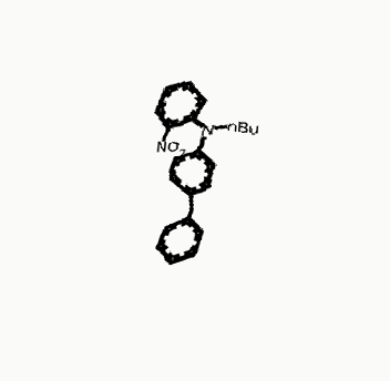 CCCCN(c1ccc(-c2ccccc2)cc1)c1ccccc1[N+](=O)[O-]